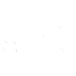 O=C(c1cc(Cc2ccccc2)cc(Cn2cnnn2)c1)c1ncc2cccnc2c1O